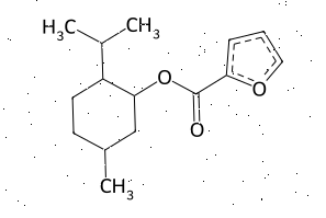 CC1CCC(C(C)C)C(OC(=O)c2ccco2)C1